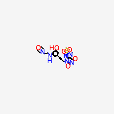 Cn1c(=O)c2c(nc(S(C)(=O)=O)n2C)n(CC#Cc2cc(O)cc(NCCN3CCOCC3)c2)c1=O